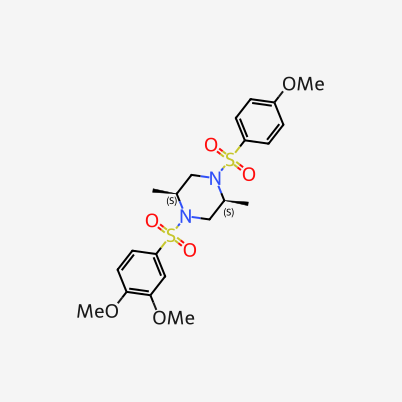 COc1ccc(S(=O)(=O)N2C[C@H](C)N(S(=O)(=O)c3ccc(OC)c(OC)c3)C[C@@H]2C)cc1